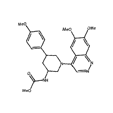 COC(=O)NC1CC(c2ccc(OC)cc2)CN(c2cnnc3cc(OC)c(OC)cc23)C1